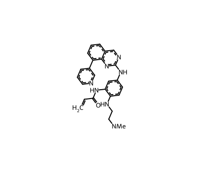 C=CC(=O)Nc1cc(Nc2ncc3cccc(-c4cccnc4)c3n2)ccc1NCCNC